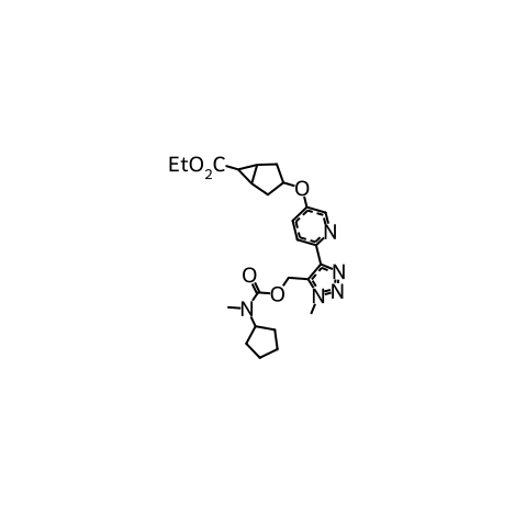 CCOC(=O)C1C2CC(Oc3ccc(-c4nnn(C)c4COC(=O)N(C)C4CCCC4)nc3)CC21